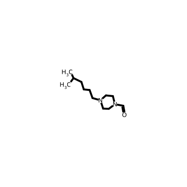 CC(C)CCCCN1CCN(C=O)CC1